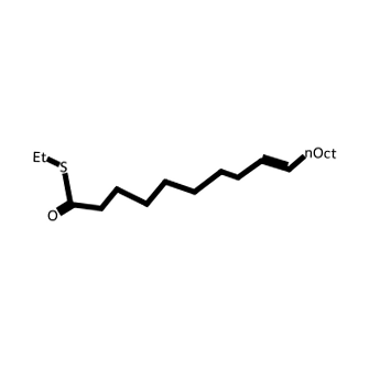 CCCCCCCCC=CCCCCCCCC(=O)SCC